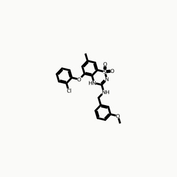 COc1cccc(CNC2=NS(=O)(=O)c3cc(C)cc(Oc4ccccc4Cl)c3N2)c1